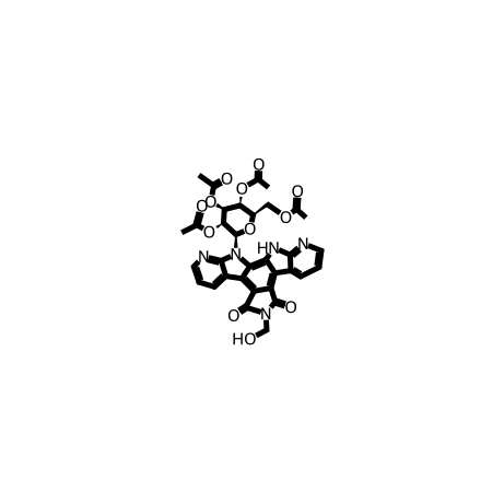 CC(=O)OC[C@H]1O[C@@H](n2c3ncccc3c3c4c(c5c6cccnc6[nH]c5c32)C(=O)N(CO)C4=O)[C@H](OC(C)=O)[C@@H](OC(C)=O)[C@@H]1OC(C)=O